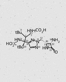 CC(C)(C)C(CNC(=O)O)[C@@](NC(=O)O)(c1cnn(C[C@H]2NC(=O)[C@H]2N)n1)C(C)(C)C